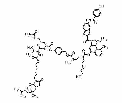 CC[C@@H]1CN(C(=O)c2cn3cc(NC(=O)c4ccc(O)cc4)ccc3n2)c2cc(OC(=O)N(CCOCCO)CCN(C)C(=O)OCc3ccc(NC(=O)[C@H](CCCNC(N)=O)NC(=O)[C@@H](NC(=O)OCCOCCN4C(=O)CC(SC(C)(C)CCC(C)C)C4=O)C(C)C)cc3)c3cccc(C)c3c21